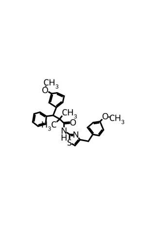 COc1ccc(Cc2csc(NC(=O)C(C)(C)C(c3ccccc3)c3cccc(OC)c3)n2)cc1